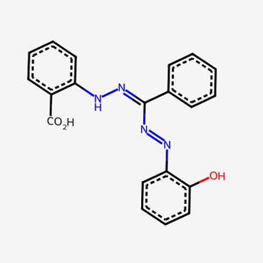 O=C(O)c1ccccc1N/N=C(\N=N\c1ccccc1O)c1ccccc1